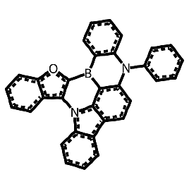 c1ccc(N2c3ccccc3B3c4oc5ccccc5c4-n4c5ccccc5c5ccc2c3c54)cc1